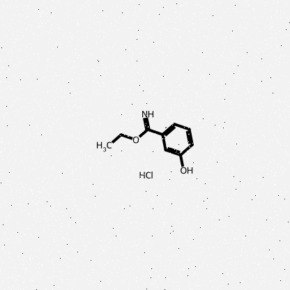 CCOC(=N)c1cccc(O)c1.Cl